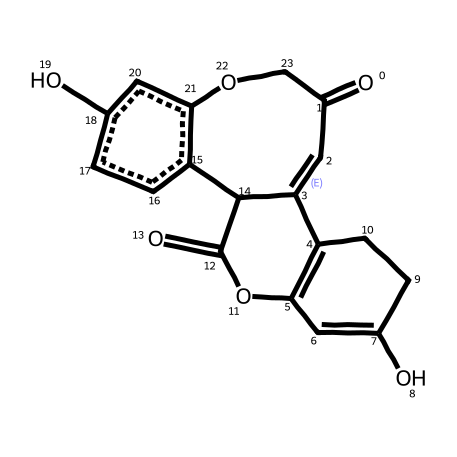 O=C1/C=C2/C3=C(C=C(O)CC3)OC(=O)C2c2ccc(O)cc2OC1